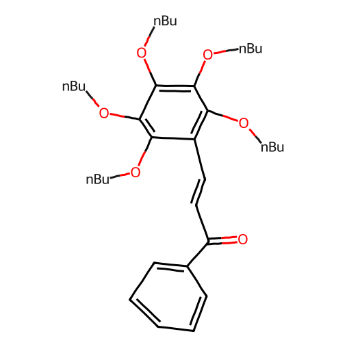 CCCCOc1c(C=CC(=O)c2ccccc2)c(OCCCC)c(OCCCC)c(OCCCC)c1OCCCC